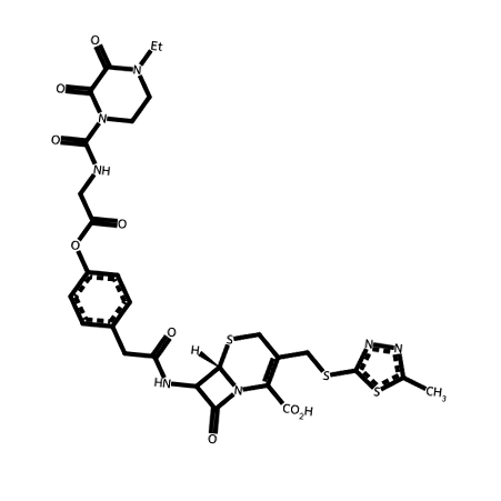 CCN1CCN(C(=O)NCC(=O)Oc2ccc(CC(=O)NC3C(=O)N4C(C(=O)O)=C(CSc5nnc(C)s5)CS[C@@H]34)cc2)C(=O)C1=O